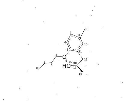 CCCCOc1ccc(C)cc1C[C@@H](C)O